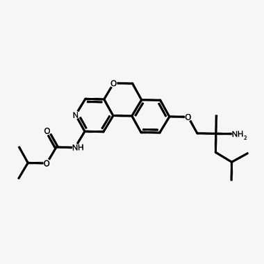 CC(C)CC(C)(N)COc1ccc2c(c1)COc1cnc(NC(=O)OC(C)C)cc1-2